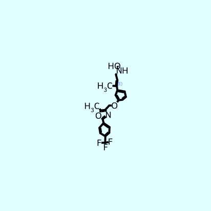 C/C(=C\CNO)c1cccc(OCc2nc(-c3ccc(C(F)(F)F)cc3)oc2C)c1